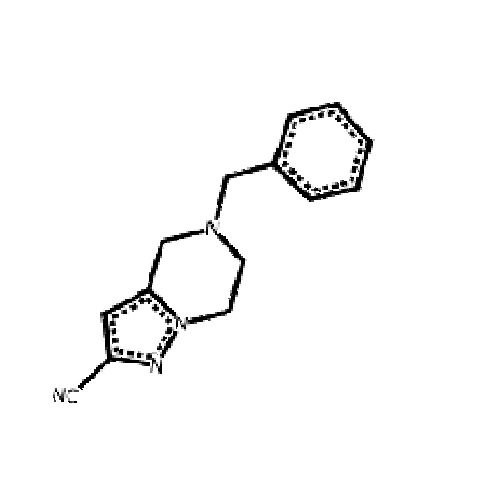 N#Cc1cc2n(n1)CCN(Cc1ccccc1)C2